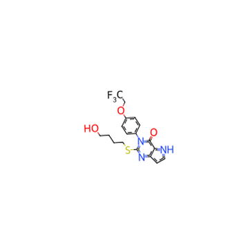 O=c1c2[nH]ccc2nc(SCCCCO)n1-c1ccc(OCC(F)(F)F)cc1